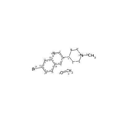 C=O.CN1CCC(c2cnc3cc(Br)ccc3c2)CC1